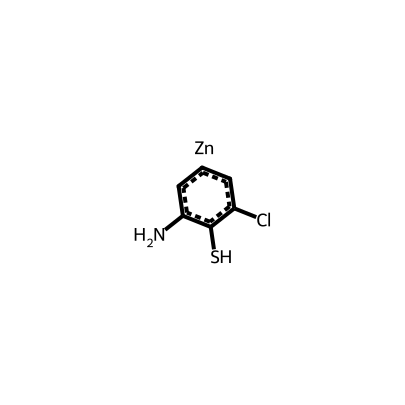 Nc1cccc(Cl)c1S.[Zn]